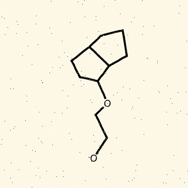 [O]CCOC1CCC2CCCC21